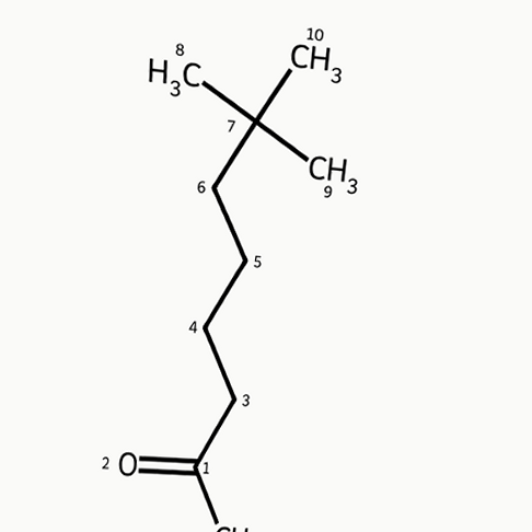 CC(=O)CCCCC(C)(C)C